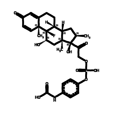 C[C@@H]1C[C@H]2[C@@H]3CCC4=CC(=O)C=C[C@]4(C)[C@@]3(F)[C@@H](O)C[C@]2(C)[C@@]1(O)C(=O)COP(=O)(O)Oc1ccc(NC(=O)O)cc1